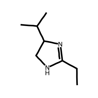 CCC1=NC(C(C)C)CN1